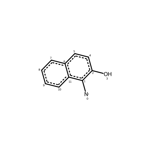 [N]c1c(O)ccc2ccccc12